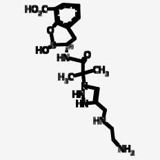 CC(C)(C(=O)N[C@H]1Cc2cccc(C(=O)O)c2OB1O)N1C=C(CNCCN)NN1